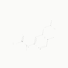 O=C(O)Nc1cc(OC(F)F)c(F)cn1